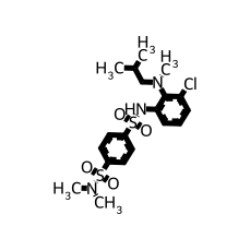 CC(C)CN(C)c1c(Cl)cccc1NS(=O)(=O)c1ccc(S(=O)(=O)N(C)C)cc1